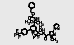 Cn1nc(-n2cccn2)cc1C(=O)NCC(O)(c1cc(C(C)(C)NC(=O)OCc2ccccc2)cc(-c2ccc(C(F)(F)F)cc2)n1)C(F)(F)F